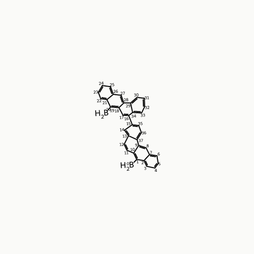 Bc1c2ccccc2cc2c1ccc1cc(-c3cc4c(B)c5ccccc5cc4c4ccccc34)ccc12